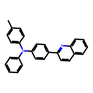 Cc1ccc(N(c2ccccc2)c2ccc(-c3ccc4ccccc4n3)cc2)cc1